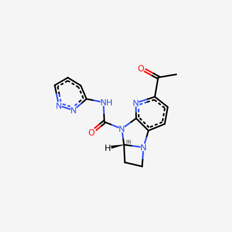 CC(=O)c1ccc2c(n1)N(C(=O)Nc1cccnn1)[C@H]1CCN21